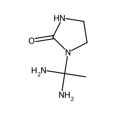 CC(N)(N)N1CCNC1=O